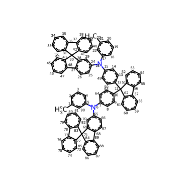 Cc1cccc(N(c2ccc(C3(c4ccc(N(c5cccc(C)c5)c5ccc6c(c5)C5(c7ccccc7-c7ccccc75)c5ccccc5-6)cc4)c4ccccc4-c4ccccc43)cc2)c2ccc3c(c2)C2(c4ccccc4-c4ccccc42)c2ccccc2-3)c1